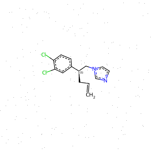 C=CC[C@H](Cn1ccnc1)c1ccc(Cl)c(Cl)c1